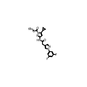 CC(C)(C)OC(=O)n1nc(NC(=O)Cc2cnn(-c3cc(F)cc(F)c3)c2)cc1C1CC1